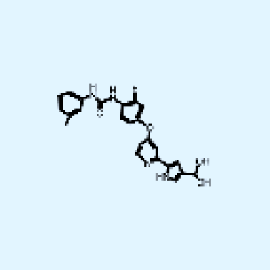 Cc1cccc(NC(=O)Nc2ccc(Oc3ccnc(-c4cc(C(O)O)c[nH]4)c3)cc2F)c1